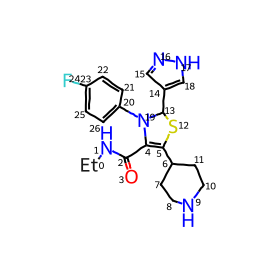 CCNC(=O)C1=C(C2CCNCC2)SC(c2cn[nH]c2)N1c1ccc(F)cc1